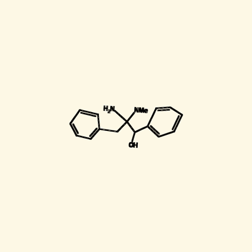 CNC(N)(Cc1ccccc1)C(O)c1ccccc1